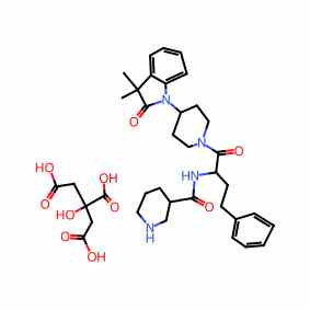 CC1(C)C(=O)N(C2CCN(C(=O)C(CCc3ccccc3)NC(=O)C3CCCNC3)CC2)c2ccccc21.O=C(O)CC(O)(CC(=O)O)C(=O)O